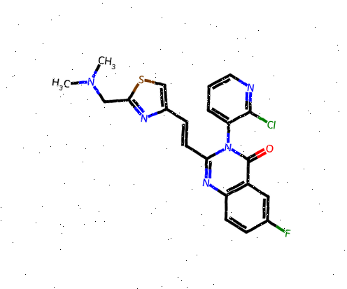 CN(C)Cc1nc(C=Cc2nc3ccc(F)cc3c(=O)n2-c2cccnc2Cl)cs1